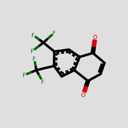 O=C1C=CC(=O)c2cc(C(F)(F)F)c(C(F)(F)F)cc21